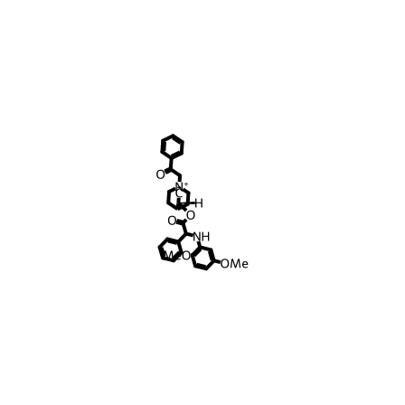 COc1ccc(OC)c(NC(C(=O)O[C@H]2C[N+]3(CC(=O)c4ccccc4)CCC2CC3)c2ccccc2)c1